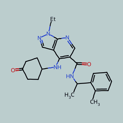 CCn1ncc2c(NC3CCC(=O)CC3)c(C(=O)NC(C)c3ccccc3C)cnc21